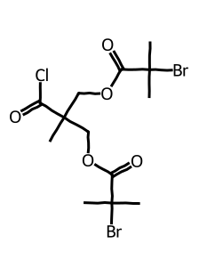 CC(C)(Br)C(=O)OCC(C)(COC(=O)C(C)(C)Br)C(=O)Cl